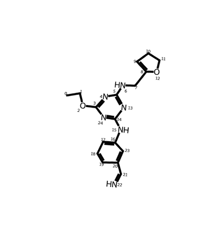 CCOc1nc(NCC2=CCCO2)nc(Nc2cccc(C=N)c2)n1